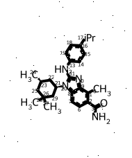 Cc1c(C(N)=O)ccc2c1nc(Nc1ccc(C(C)C)cc1)n2[C@@H]1C[C@H](C)CC(C)(C)C1